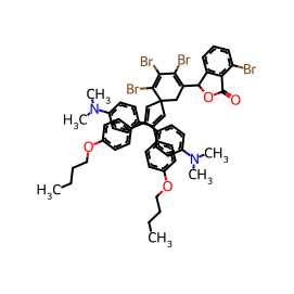 CCCCOc1ccc(C(=CC2(C=C(c3ccc(OCCCC)cc3)c3ccc(N(C)C)cc3)CC(C3OC(=O)c4c(Br)cccc43)=C(Br)C(Br)=C2Br)c2ccc(N(C)C)cc2)cc1